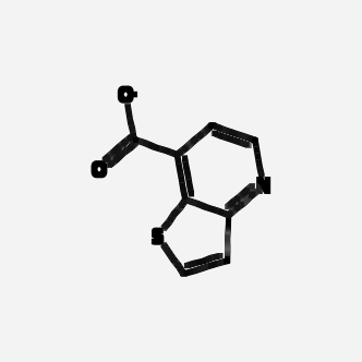 [O]C(=O)c1ccnc2ccsc12